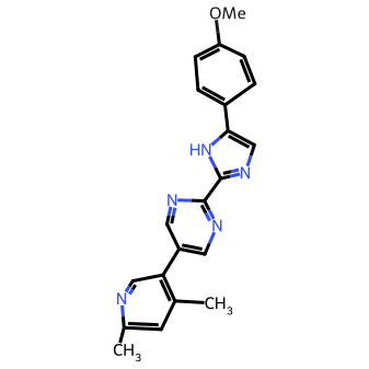 COc1ccc(-c2cnc(-c3ncc(-c4cnc(C)cc4C)cn3)[nH]2)cc1